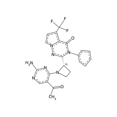 CC(=O)c1cnc(N)nc1N1CC[C@H]1c1nn2ccc(C(F)(F)F)c2c(=O)n1-c1ccccc1